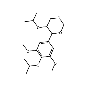 COc1cc(C2OCOCC2OC(C)C)cc(OC)c1OC(C)C